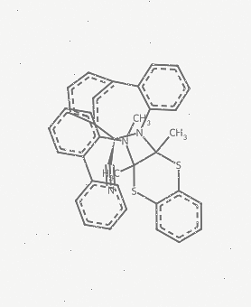 CN(c1ccccc1-c1ccccc1)C1(C)Sc2ccccc2SC1(C)N1c2ccccc2-c2cccc(c2)[C@@H]1C#N